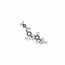 COC(=O)c1cc(Cl)c2c(c1C)OC(C)(C1CCC(CNC3CC(F)(F)C3)CC1)O2